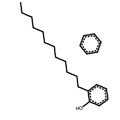 CCCCCCCCCCCCc1ccccc1O.c1ccccc1